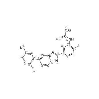 Cc1ccc(-c2cn3nc(-c4cc(C#N)ccc4F)ccc3n2)cc1NC(=O)C(C)(C)C